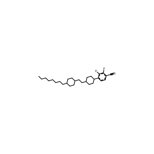 CCCCCCCCC1CCC(CCC2CCC(c3ccc(C#N)c(F)c3F)CC2)CC1